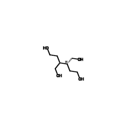 OCCC(CO)[C@H](CO)CCO